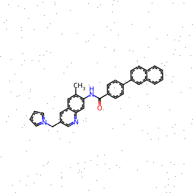 Cc1cc2cc(Cn3cccc3)cnc2cc1NC(=O)c1ccc(-c2ccc3ccccc3c2)cc1